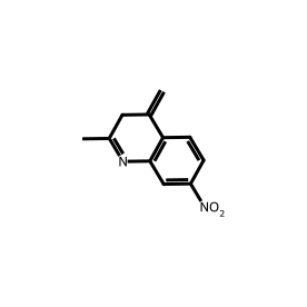 C=C1CC(C)=Nc2cc([N+](=O)[O-])ccc21